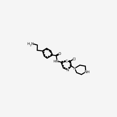 NCCc1ccc(C(=O)Nc2cnc(N3CCNCC3)c(Cl)c2)cc1